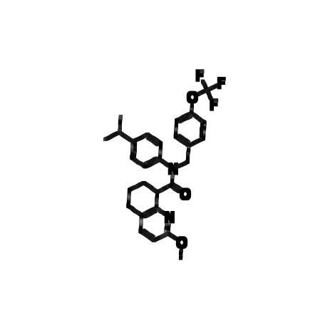 COc1ccc2c(n1)C(C(=O)N(Cc1ccc(OC(F)(F)F)cc1)c1ccc(C(C)C)cc1)CCC2